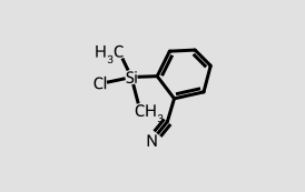 C[Si](C)(Cl)c1ccccc1C#N